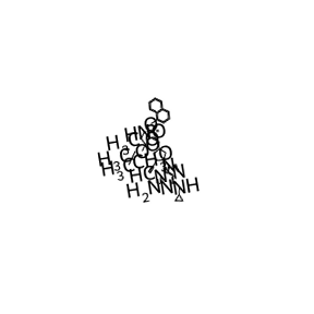 C#C[C@H]1C[C@@H](CO[P@](=O)(N[C@@H](C)C(=O)OCC(C)(C)C)Oc2cccc3ccccc23)O[C@H]1n1cnc2c(NC3CC3)nc(N)nc21